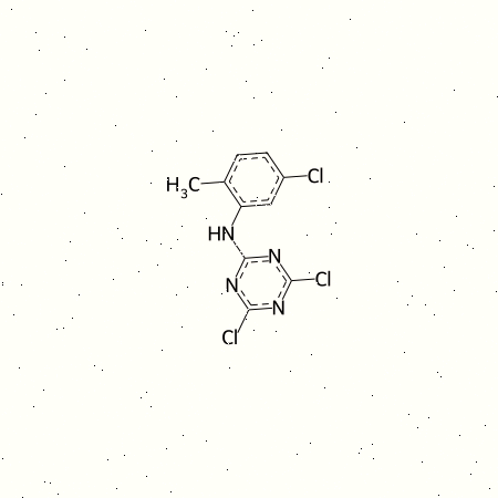 Cc1ccc(Cl)cc1Nc1nc(Cl)nc(Cl)n1